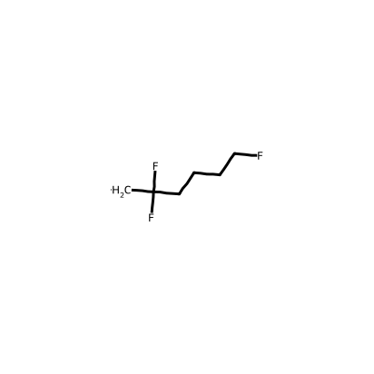 [CH2]C(F)(F)CCCCF